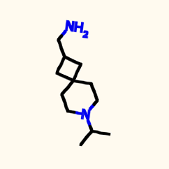 CC(C)N1CCC2(CC1)CC(CN)C2